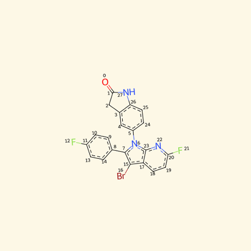 O=C1Cc2cc(-n3c(-c4ccc(F)cc4)c(Br)c4ccc(F)nc43)ccc2N1